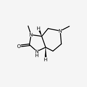 CN1CC[C@@H]2NC(=O)N(C)[C@@H]2C1